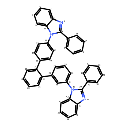 c1ccc(-c2nc3ccccc3n2-c2ccc(-c3ccccc3-c3cccc(-n4c(-c5ccccc5)nc5ccccc54)c3)cc2)cc1